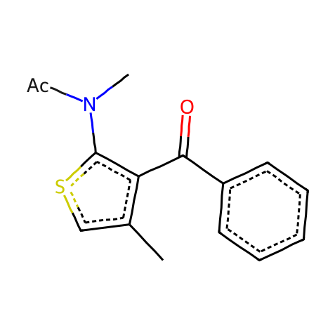 CC(=O)N(C)c1scc(C)c1C(=O)c1ccccc1